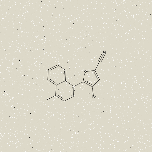 Cc1ccc(-c2sc(C#N)cc2Br)c2ccccc12